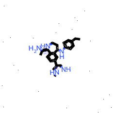 CCc1ccc(NC2CCN/C(=C(/C)N)c3ccc(/C(C=N)=C/NC)cc32)cc1